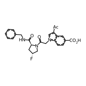 CC(=O)c1cn(CC(=O)N2C[C@H](F)C[C@H]2C(=O)NCc2ccccc2)c2ccc(C(=O)O)cc12